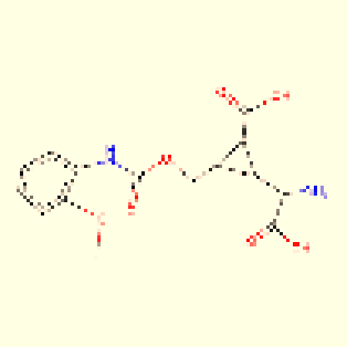 COc1ccccc1NC(=O)OCC1C(C(=O)O)C1C(N)C(=O)O